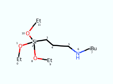 CCO[Si](CCCNC(C)CC)(OCC)OCC